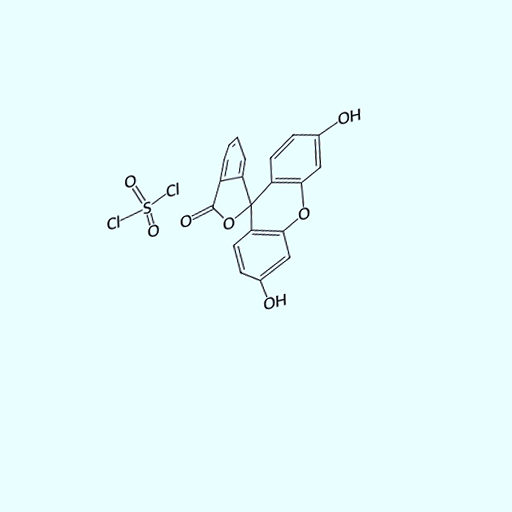 O=C1OC2(c3ccc(O)cc3Oc3cc(O)ccc32)c2ccccc21.O=S(=O)(Cl)Cl